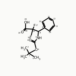 CC(C)(C)OC(=O)NC(c1ccccc1)C(F)(F)C(=O)O